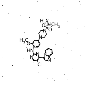 COc1cc(N2CCN(S(=O)(=O)N(C)C)CC2)ccc1Nc1ncc(Cl)c(-c2cnc3ccccn23)n1